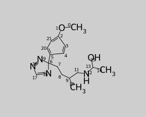 COc1ccc(C2(CCC(C)CNC(C)O)N=CN=N2)cc1